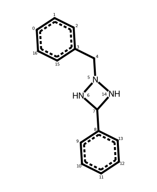 c1ccc(CN2NC(c3ccccc3)N2)cc1